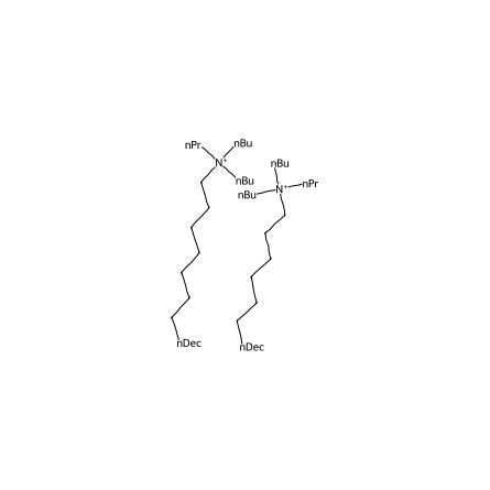 CCCCCCCCCCCCCCCCC[N+](CCC)(CCCC)CCCC.CCCCCCCCCCCCCCCC[N+](CCC)(CCCC)CCCC